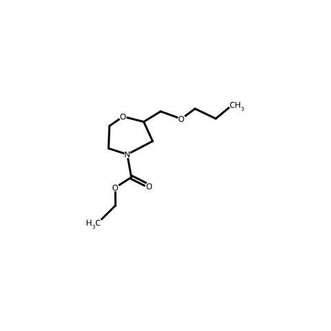 CCCOCC1CN(C(=O)OCC)CCO1